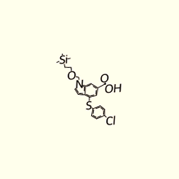 C[Si](C)(C)CCOCn1ccc2c(Sc3ccc(Cl)cc3)cc(C(=O)O)cc21